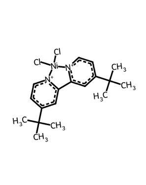 CC(C)(C)c1cc[n+]2c(c1)-c1cc(C(C)(C)C)cc[n+]1[Ni]2([Cl])[Cl]